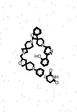 O=C1CC[C@H](c2ccc(N3CCC4(CC3)COC(CN3CC5(CCN(C(=O)C6(c7ccccc7)CCN(c7cnnc(-c8ccccc8O)c7)CC6)CC5)C3)C4)cc2)C(=O)N1